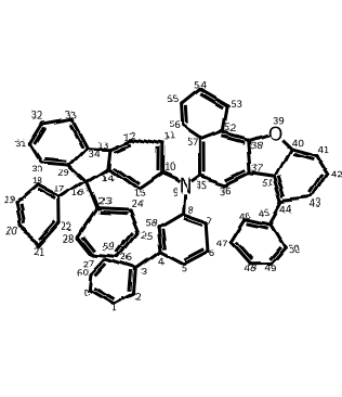 c1ccc(-c2cccc(N(c3ccc4c(c3)C(c3ccccc3)(c3ccccc3)c3ccccc3-4)c3cc4c(oc5cccc(-c6ccccc6)c54)c4ccccc34)c2)cc1